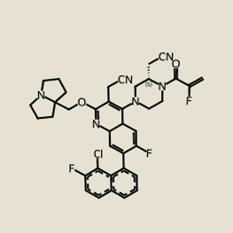 C=C(F)C(=O)N1CCN(C2=C(CC#N)C(OCC34CCCN3CCC4)=NC3C=C(c4cccc5ccc(F)c(Cl)c45)C(F)=CC23)C[C@@H]1CC#N